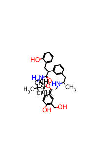 C[C@H](Cc1cccc(C(Cc2ccccc2O)C(N)=O)c1)NC[C@@H](O[Si](C)(C)C(C)(C)C)c1ccc(O)c(CO)c1